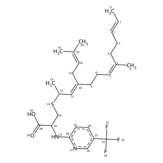 CC=CCCC(C)=CCCC(=CC(C)SCC(Nc1ccc(C(F)(F)F)cn1)C(=O)O)CC=C(C)C